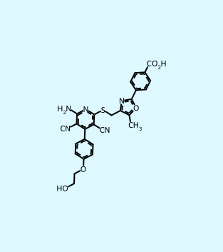 [C-]#[N+]c1c(N)nc(SCc2nc(-c3ccc(C(=O)O)cc3)oc2C)c(C#N)c1-c1ccc(OCCO)cc1